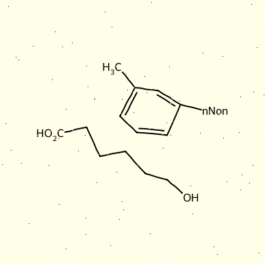 CCCCCCCCCc1cccc(C)c1.O=C(O)CCCCCO